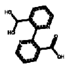 O=C(O)c1cccnc1-c1ncccc1C(O)O